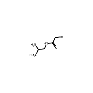 NC(CNC(=O)CBr)C(=O)O